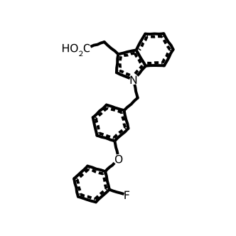 O=C(O)Cc1cn(Cc2cccc(Oc3ccccc3F)c2)c2ccccc12